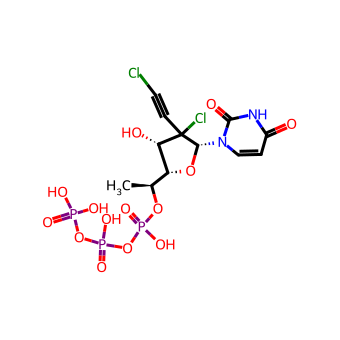 C[C@H](OP(=O)(O)OP(=O)(O)OP(=O)(O)O)[C@H]1O[C@@H](n2ccc(=O)[nH]c2=O)C(Cl)(C#CCl)[C@H]1O